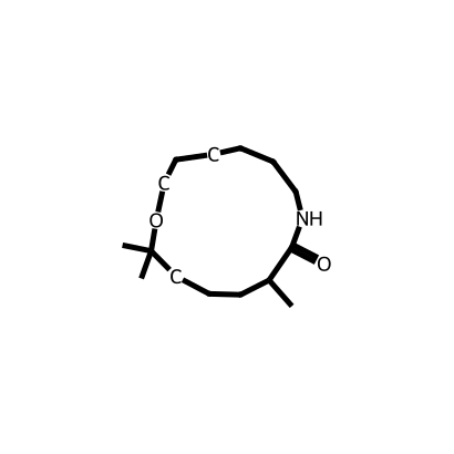 CC1CCCC(C)(C)OCCCCCCNC1=O